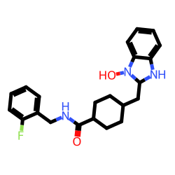 O=C(NCc1ccccc1F)C1CCC(CC2Nc3ccccc3N2O)CC1